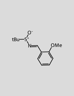 COc1ccccc1/C=N/[S+]([O-])C(C)(C)C